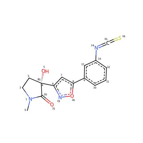 CN1CC[C@@](O)(c2cc(-c3cccc(N=C=S)c3)on2)C1=O